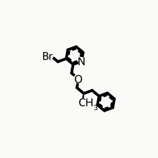 C[C@@H](COCc1ncccc1CBr)Cc1ccccc1